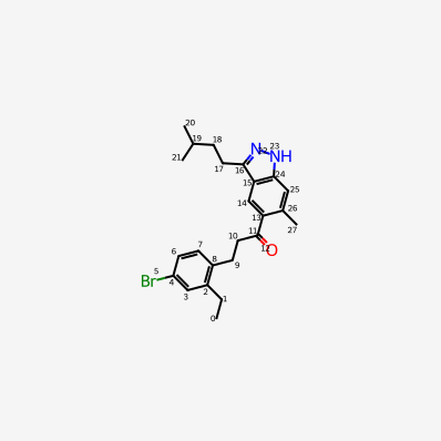 CCc1cc(Br)ccc1CCC(=O)c1cc2c(CCC(C)C)n[nH]c2cc1C